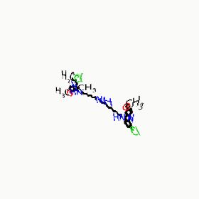 C=C/C(Cl)=C\c1nc2ccc(OC)cc2c(NCCCCCCCCNCCCCCCCCNc2c3ccc(Cl)cc3nc3ccc(OC)cc23)c1C